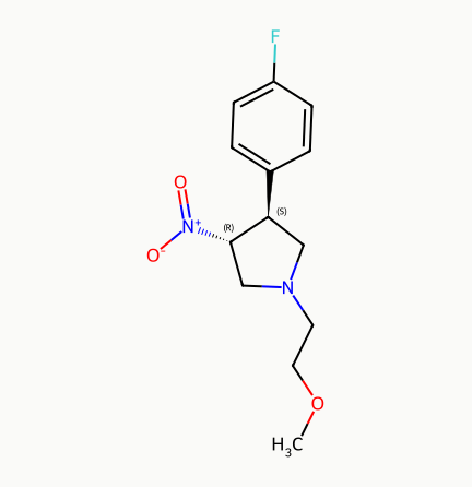 COCCN1C[C@H](c2ccc(F)cc2)[C@@H]([N+](=O)[O-])C1